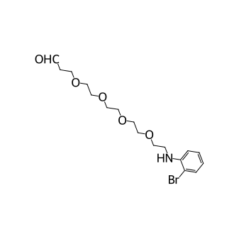 O=CCCOCCOCCOCCOCCNc1ccccc1Br